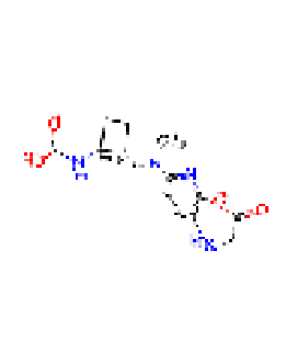 CN(C[C@@H]1CC[C@H]1NC(=O)O)c1ccc2c(n1)OC(=O)CN2